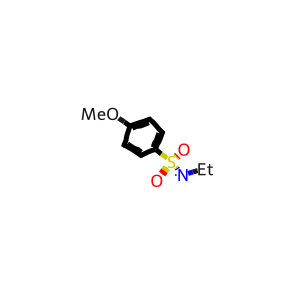 CC[N]S(=O)(=O)c1ccc(OC)cc1